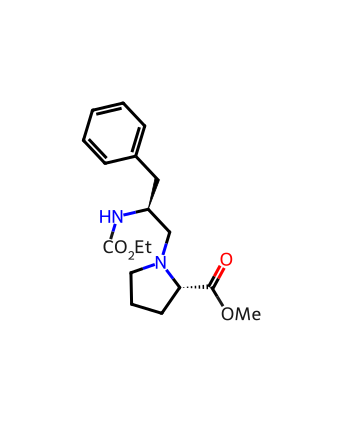 CCOC(=O)N[C@@H](Cc1ccccc1)CN1CCC[C@H]1C(=O)OC